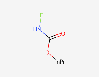 CCCOC(=O)NF